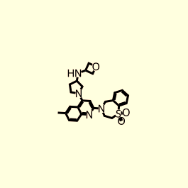 Cc1ccc2nc(N3CCS(=O)(=O)c4ccccc4C3)cc(N3CCC(NC4COC4)C3)c2c1